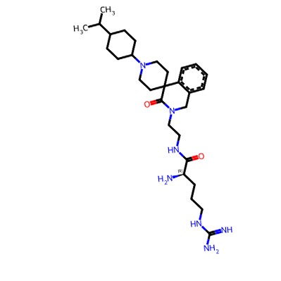 CC(C)C1CCC(N2CCC3(CC2)C(=O)N(CCNC(=O)[C@H](N)CCCNC(=N)N)Cc2ccccc23)CC1